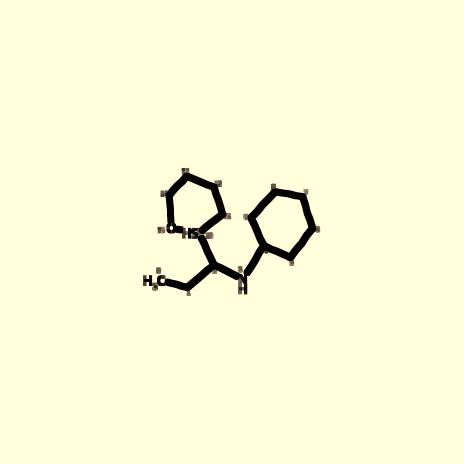 CCC(NC1CCCCC1)[SiH]1CCCCO1